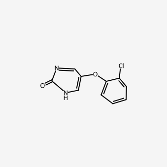 O=c1ncc(Oc2ccccc2Cl)c[nH]1